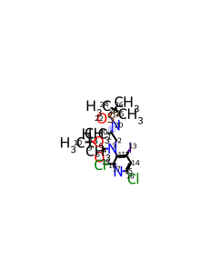 C/C(CN(C(=O)OC(C)(C)C)c1c(I)cc(Cl)nc1Cl)=N\[S+]([O-])C(C)(C)C